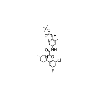 Cc1cc(NC(=O)C(=O)N2C[C@@H](C)CC[C@@H]2c2cc(F)cc(Cl)c2)cnc1NC(=O)OC(C)(C)C